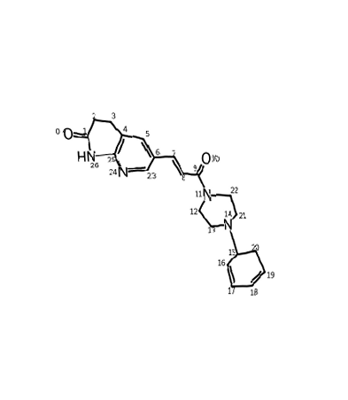 O=C1CCc2cc(/C=C/C(=O)N3CCN(C4C=CC=CC4)CC3)cnc2N1